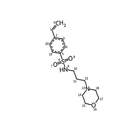 C=Cc1ccc(S(=O)(=O)NCCCN2CCOCC2)cc1